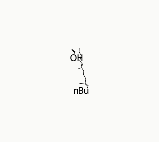 C=C(O)C(C)CC/C=C(\C)CCC/C(C)=C/CCCC